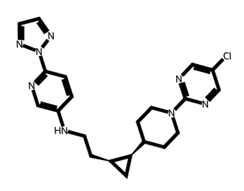 Clc1cnc(N2CCC([C@H]3C[C@H]3CCNc3ccc(-n4nccn4)nc3)CC2)nc1